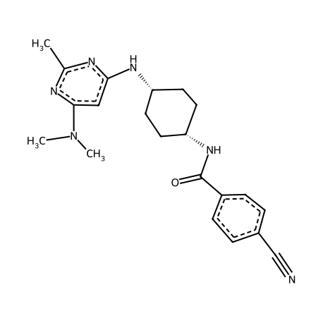 Cc1nc(N[C@H]2CC[C@@H](NC(=O)c3ccc(C#N)cc3)CC2)cc(N(C)C)n1